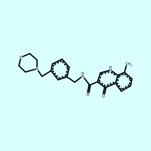 Cc1cccc2c(=O)c(C(=O)NCc3cccc(CN4CCOCC4)c3)c[nH]c12